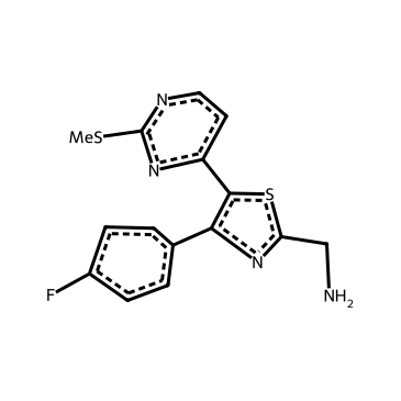 CSc1nccc(-c2sc(CN)nc2-c2ccc(F)cc2)n1